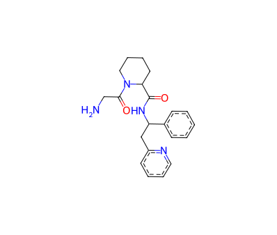 NCC(=O)N1CCCCC1C(=O)NC(Cc1ccccn1)c1ccccc1